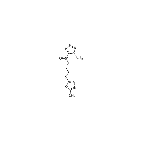 Cc1nnc(SCCC[S+]([O-])c2nnnn2C)o1